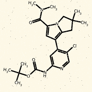 CN(C)C(=O)c1cc(-c2cc(NC(=O)OC(C)(C)C)ncc2Cl)c2n1CC(C)(C)C2